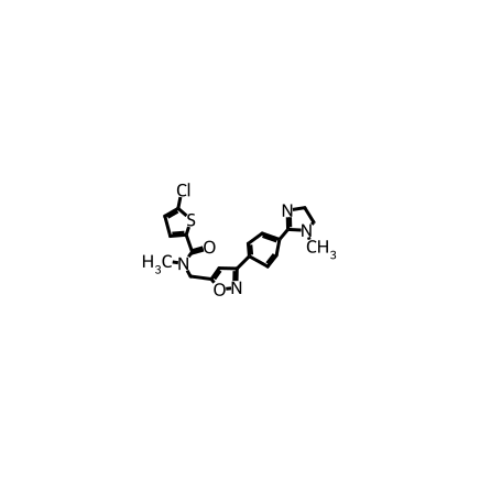 CN(Cc1cc(-c2ccc(C3=NCCN3C)cc2)no1)C(=O)c1ccc(Cl)s1